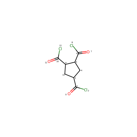 O=C(Cl)C1CC(C(=O)Cl)C(C(=O)Cl)C1